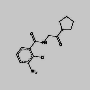 Nc1cccc(C(=O)NCC(=O)N2CCCC2)c1Cl